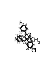 CN1OC(c2ccc(F)cc2)CC1(Cn1cncn1)c1ccc(Cl)cc1